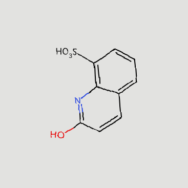 O=S(=O)(O)c1cccc2ccc(O)nc12